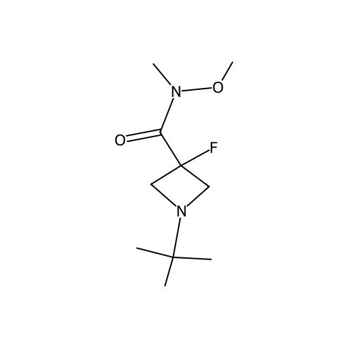 CON(C)C(=O)C1(F)CN(C(C)(C)C)C1